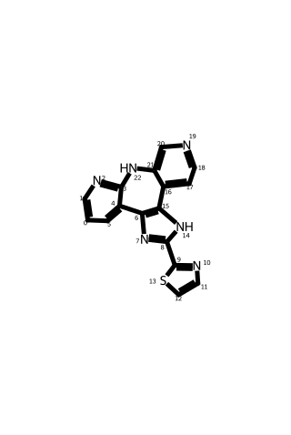 c1cnc2c(c1)-c1nc(-c3nccs3)[nH]c1-c1ccncc1N2